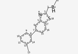 CBCc1nc2cc(-c3cccc(C)c3)ccc2s1